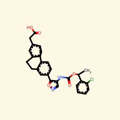 CC(OC(=O)Nc1cnoc1-c1ccc2c(c1)CCc1cc(CC(=O)O)ccc1-2)c1ccccc1Cl